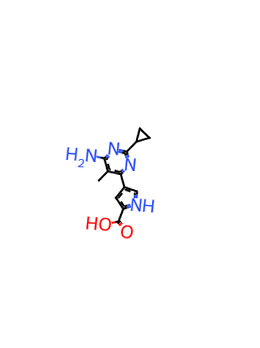 Cc1c(N)nc(C2CC2)nc1-c1c[nH]c(C(=O)O)c1